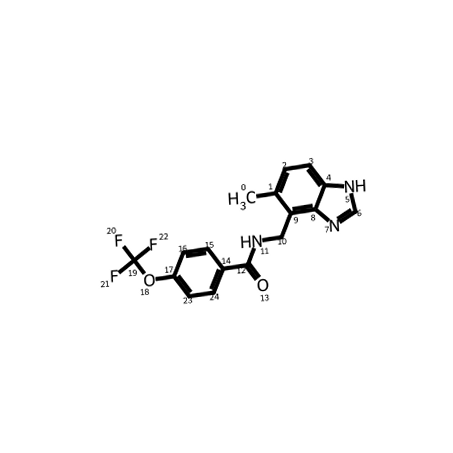 Cc1ccc2[nH]cnc2c1CNC(=O)c1ccc(OC(F)(F)F)cc1